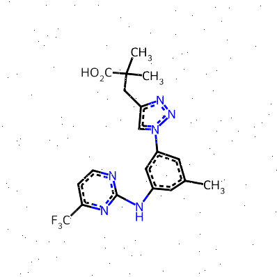 Cc1cc(Nc2nccc(C(F)(F)F)n2)cc(-n2cc(CC(C)(C)C(=O)O)nn2)c1